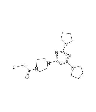 O=C(CCl)N1CCN(c2cc(N3CCCC3)nc(N3CCCC3)n2)CC1